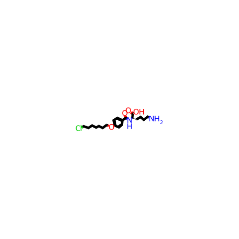 NCCCC[C@H](NC(=O)c1ccc(OCCCCCCCCl)cc1)C(=O)O